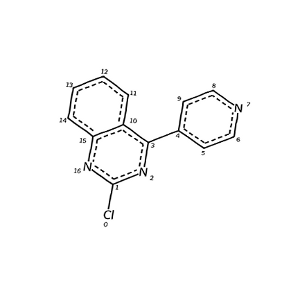 Clc1nc(-c2ccncc2)c2ccccc2n1